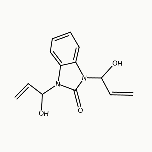 C=CC(O)n1c(=O)n(C(O)C=C)c2ccccc21